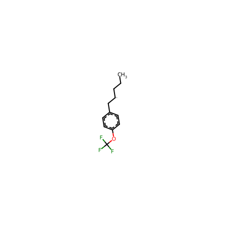 CCC[CH]Cc1ccc(OC(F)(F)F)cc1